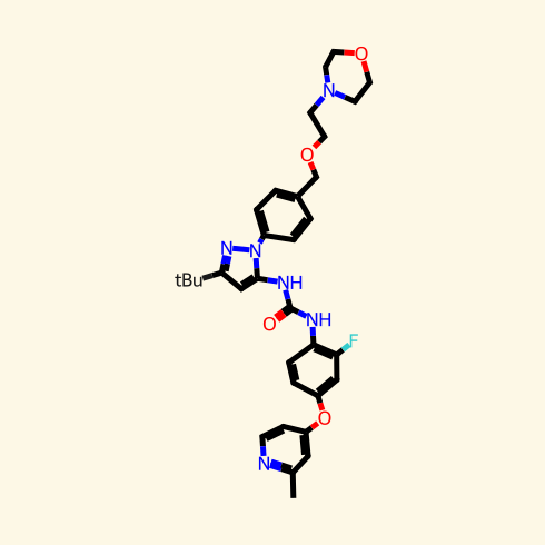 Cc1cc(Oc2ccc(NC(=O)Nc3cc(C(C)(C)C)nn3-c3ccc(COCCN4CCOCC4)cc3)c(F)c2)ccn1